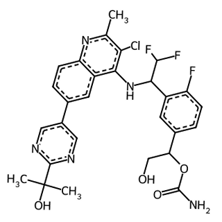 Cc1nc2ccc(-c3cnc(C(C)(C)O)nc3)cc2c(NC(c2cc(C(CO)OC(N)=O)ccc2F)C(F)F)c1Cl